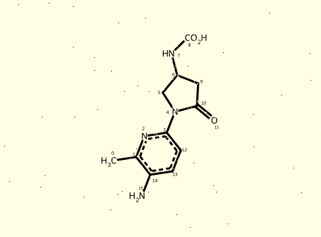 Cc1nc(N2CC(NC(=O)O)CC2=O)ccc1N